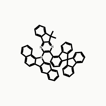 CC1(C)c2ccccc2-c2nc(-n3c4cc5ccccc5cc4c4ccc5ccccc5c43)c(-c3cccc4c3-c3ccccc3C43c4ccccc4-c4ccccc43)nc21